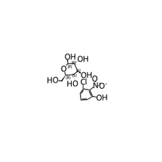 O=[N+]([O-])c1c(O)cccc1Cl.OC[C@H]1O[C@@H](O)[C@H](O)[C@@H](O)[C@@H]1O